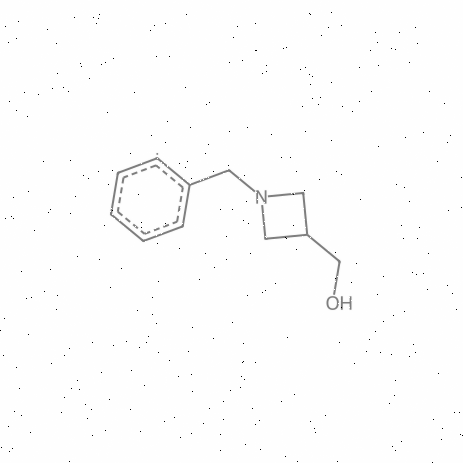 OCC1CN(Cc2[c]cccc2)C1